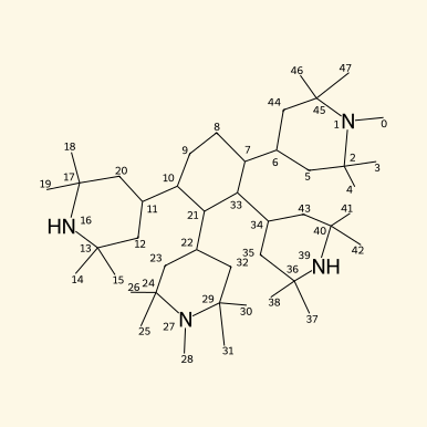 CN1C(C)(C)CC(C2CCC(C3CC(C)(C)NC(C)(C)C3)C(C3CC(C)(C)N(C)C(C)(C)C3)C2C2CC(C)(C)NC(C)(C)C2)CC1(C)C